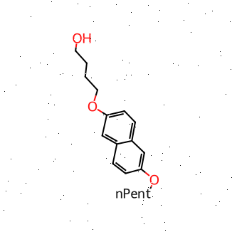 CCCCCOc1ccc2cc(OCCCCO)ccc2c1